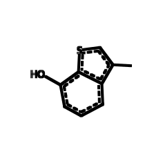 Cc1csc2c(O)cccc12